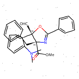 COC(=O)[C@@]1(Cc2ccccc2)N=C(c2ccccc2)O[C@@]1(C=O)c1ccccc1N(C)C